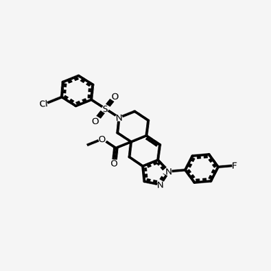 COC(=O)C12Cc3cnn(-c4ccc(F)cc4)c3C=C1CCN(S(=O)(=O)c1cccc(Cl)c1)C2